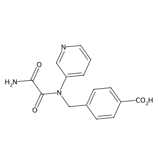 NC(=O)C(=O)N(Cc1ccc(C(=O)O)cc1)c1cccnc1